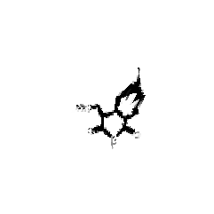 COC=C1C(=O)NC(=O)c2ccc(F)cc21